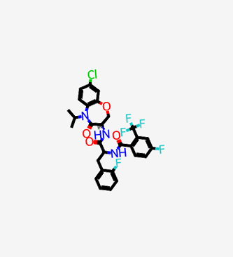 CC(C)N1C(=O)[C@H](NC(=O)C(Cc2ccccc2F)NC(=O)c2ccc(F)cc2C(F)(F)F)COc2cc(Cl)ccc21